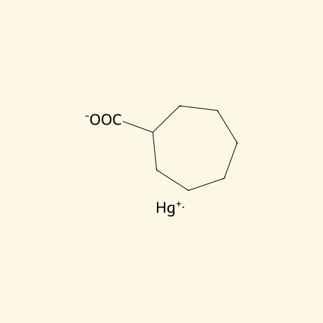 O=C([O-])C1CCCCCC1.[Hg+]